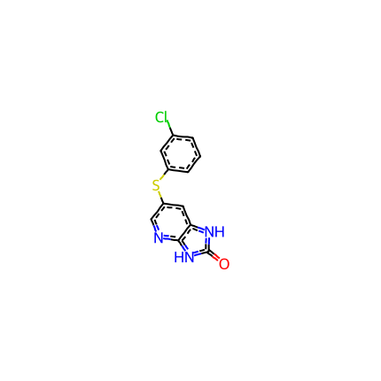 O=c1[nH]c2cc(Sc3cccc(Cl)c3)cnc2[nH]1